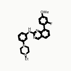 CCN1CCN(c2cccc(Nc3ncc4cccc(-c5ccc(OC)cc5F)c4n3)c2)CC1